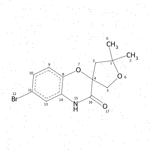 CC1(C)CC2(CO1)Oc1ccc(Br)cc1NC2=O